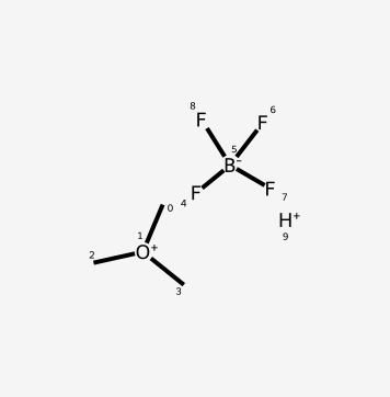 C[O+](C)C.F[B-](F)(F)F.[H+]